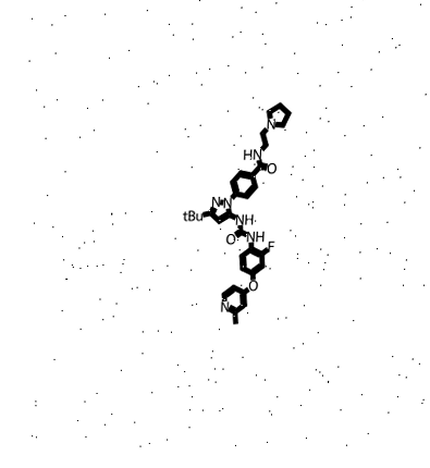 Cc1cc(Oc2ccc(NC(=O)Nc3cc(C(C)(C)C)nn3-c3ccc(C(=O)NCCN4CCCC4)cc3)c(F)c2)ccn1